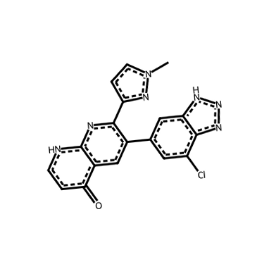 Cn1ccc(-c2nc3[nH]ccc(=O)c3cc2-c2cc(Cl)c3nn[nH]c3c2)n1